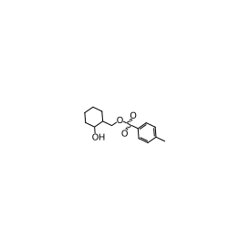 Cc1ccc(S(=O)(=O)OCC2CCCCC2O)cc1